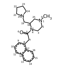 CN1CCN(C(=O)Cc2cccc3ccccc23)C(CN2CCCC2)C1